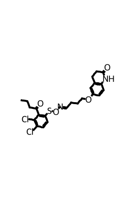 CCCC(=O)c1c(SON=CCCCOc2ccc3c(c2)CCC(=O)N3)ccc(Cl)c1Cl